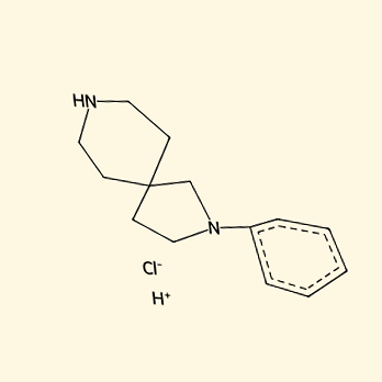 [Cl-].[H+].c1ccc(N2CCC3(CCNCC3)C2)cc1